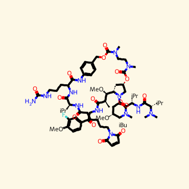 CC[C@H](C)C([C@@H](CC(=O)N1C[C@@H](OC(=O)N(C)CCN(C)C(=O)OCc2ccc(NC(=O)C(CCCNC(N)=O)NC(=O)[C@@H](NC(=O)CCCCCN3C(=O)C=CC3=O)C(C)C)cc2)C[C@H]1[C@H](OC)[C@@H](C)C(=O)NCC(=O)c1ccc(OC)c(F)c1)OC)N(C)C(=O)[C@@H](NC(=O)[C@H](C(C)C)N(C)C)C(C)C